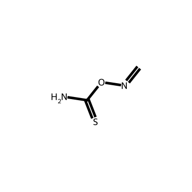 C=NOC(N)=S